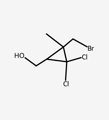 CC1(CBr)C(CO)C1(Cl)Cl